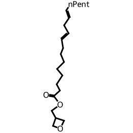 CCCCCC=CCC=CCCCCCCCC(=O)OCC1COC1